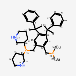 CC(C)(c1ccccc1)c1cc(CP(C2CCCNC2)C2CCCNC2)c(CP(C(C)(C)C)C(C)(C)C)cc1C(C)(C)c1ccccc1